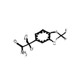 NC(=O)C(Cl)(Cl)c1ccc(SC(F)(F)F)c(Cl)c1